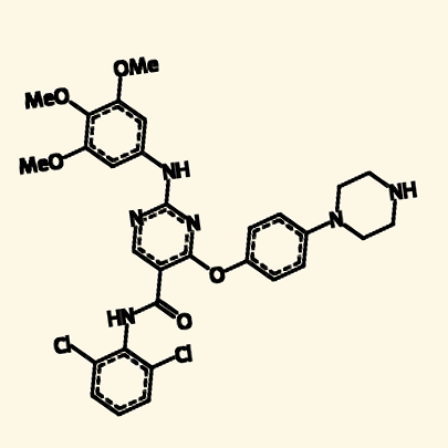 COc1cc(Nc2ncc(C(=O)Nc3c(Cl)cccc3Cl)c(Oc3ccc(N4CCNCC4)cc3)n2)cc(OC)c1OC